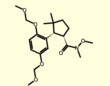 COCOc1ccc(OCOC)c([C@H]2[C@@H](C(=O)N(C)OC)CCC2(C)C)c1